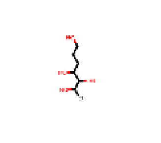 CCC(O)C(O)C(O)CCCO